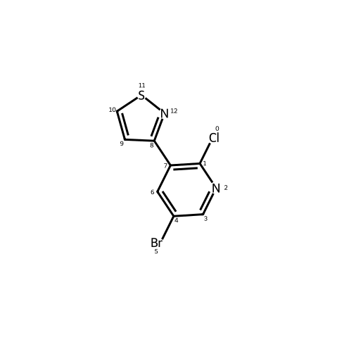 Clc1ncc(Br)cc1-c1ccsn1